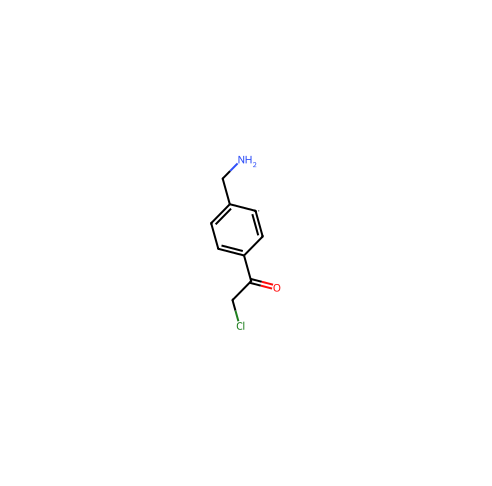 NCc1[c]cc(C(=O)CCl)cc1